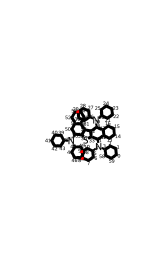 c1ccc(N(c2ccccc2)c2c3ccccc3c(N(c3ccccc3)c3ccccc3)c3c2sc2c(N(c4ccccc4)c4ccccc4)cc4ccccc4c23)cc1